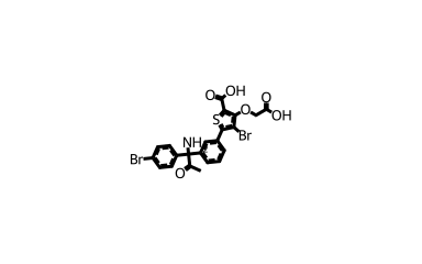 CC(=O)C(N)(c1ccc(Br)cc1)c1cccc(-c2sc(C(=O)O)c(OCC(=O)O)c2Br)c1